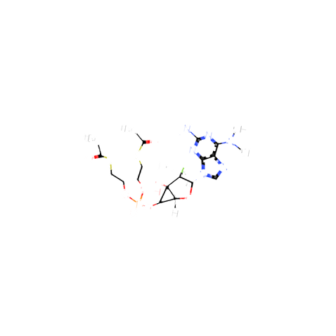 CN(C)c1nc(N)nc2c1ncn2[C@@H]1O[C@@H]2C(OP(=O)(OCCSC(=O)C(C)(C)C)OCCSC(=O)C(C)(C)C)[C@]2(O)[C@@]1(C)F